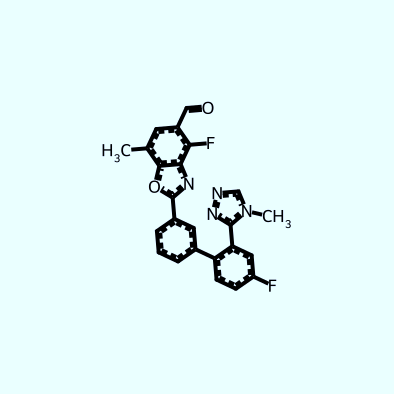 Cc1cc(C=O)c(F)c2nc(-c3cccc(-c4ccc(F)cc4-c4nncn4C)c3)oc12